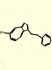 CC(C)c1cccc2c(CCc3ccccc3)ccc-2c1